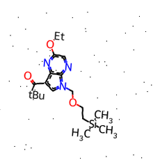 CCOc1cnc2c(n1)c(C(=O)C(C)(C)C)cn2COCC[Si](C)(C)C